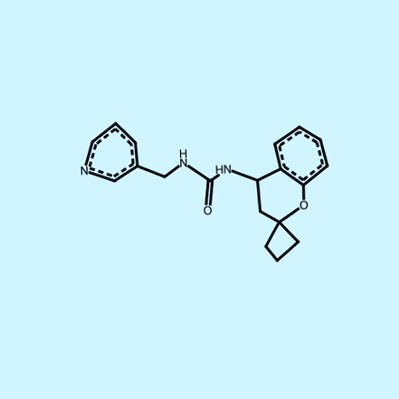 O=C(NCc1cccnc1)NC1CC2(CCC2)Oc2ccccc21